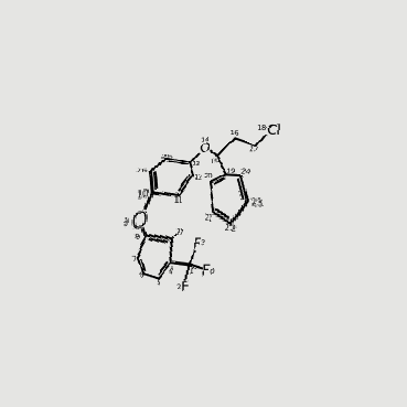 FC(F)(F)c1cccc(Oc2ccc(OC(CCCl)c3ccccc3)cc2)c1